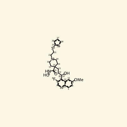 COc1ccc2ncc(F)c([C@H](O)CCC3(C(=O)NO)CCN(CCSc4cccs4)CC3)c2c1